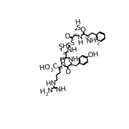 N=C(N)NCCC[C@H](NC(=O)[C@H](Cc1ccc(O)cc1)NC(=O)[C@H](CS)NSSC(=O)[C@H](CS)NC(=O)[C@@H](N)Cc1ccccc1)C(=O)O